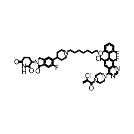 C=C(Cl)C(=O)N1CCN(c2ncnc3c(F)c(-c4c(F)cccc4OCCCCCCCN4CCC(c5cc6c(cc5F)C(=O)N(C5CCC(=O)NC5=O)C6)CC4)c(Cl)cc23)CC1